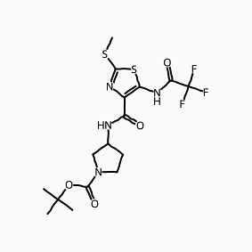 CSc1nc(C(=O)NC2CCN(C(=O)OC(C)(C)C)C2)c(NC(=O)C(F)(F)F)s1